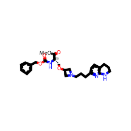 COC(=O)[C@H](COC1CN(CCCc2ccc3c(n2)NCCC3)C1)NC(=O)OCc1ccccc1